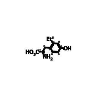 CCc1cc(O)ccc1C[C@@H](N)C(=O)O